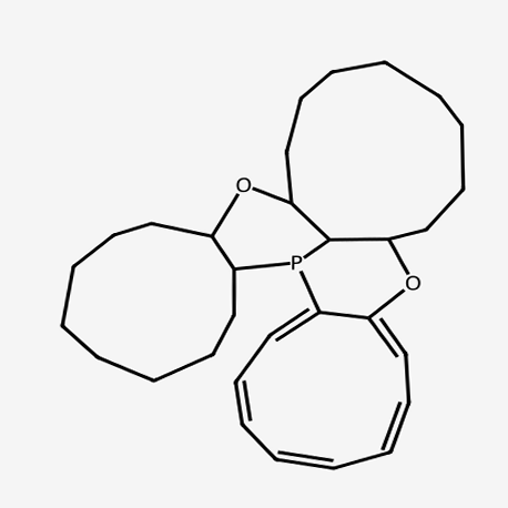 c1ccccc2c(ccc1)OC1CCCCCCCCC3OC4CCCCCCCCC4P2C13